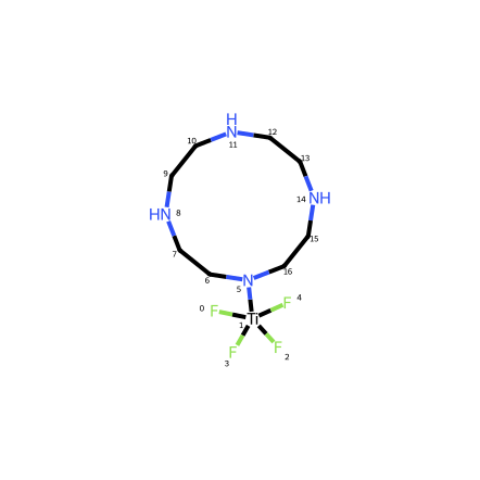 [F][Ti]([F])([F])([F])[N]1CCNCCNCCNCC1